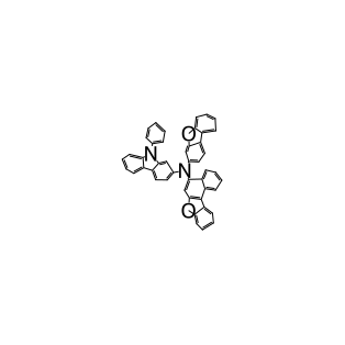 c1ccc(-n2c3ccccc3c3ccc(N(c4ccc5c(c4)oc4ccccc45)c4cc5oc6ccccc6c5c5ccccc45)cc32)cc1